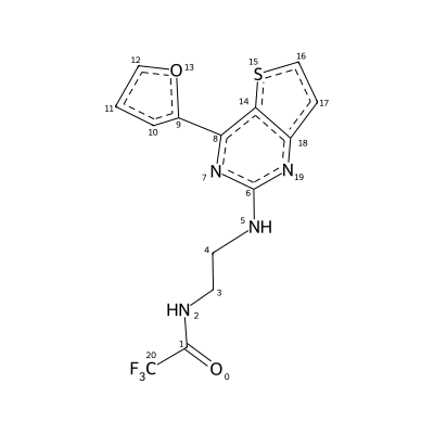 O=C(NCCNc1nc(-c2ccco2)c2sccc2n1)C(F)(F)F